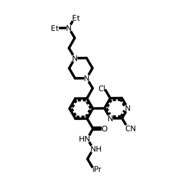 CCN(CC)CCN1CCN(Cc2cccc(C(=O)NNCC(C)C)c2-c2nc(C#N)ncc2Cl)CC1